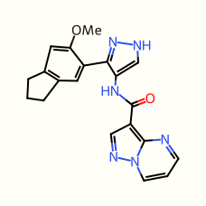 COc1cc2c(cc1-c1n[nH]cc1NC(=O)c1cnn3cccnc13)CCC2